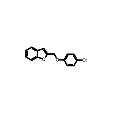 CCc1ccc(OCc2cc3ccccc3o2)cc1